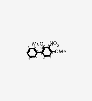 COc1ccc(-c2ccccc2)c(OC)c1[N+](=O)[O-]